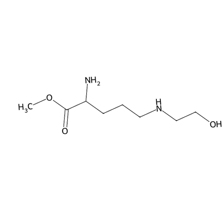 COC(=O)C(N)CCCNCCO